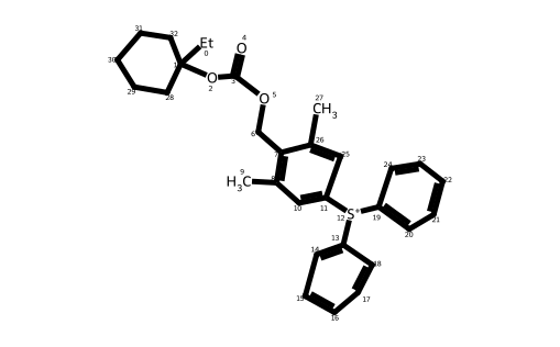 CCC1(OC(=O)OCc2c(C)cc([S+](c3ccccc3)c3ccccc3)cc2C)CCCCC1